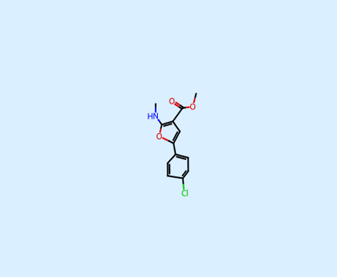 CNc1oc(-c2ccc(Cl)cc2)cc1C(=O)OC